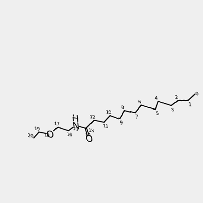 CCCCCCCCCCCCCC(=O)NCCOCC